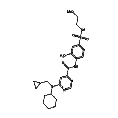 COCCNS(=O)(=O)c1ccc(NC(=O)c2cc(N(CC3CC3)C3CCCCC3)ncn2)c(C)c1